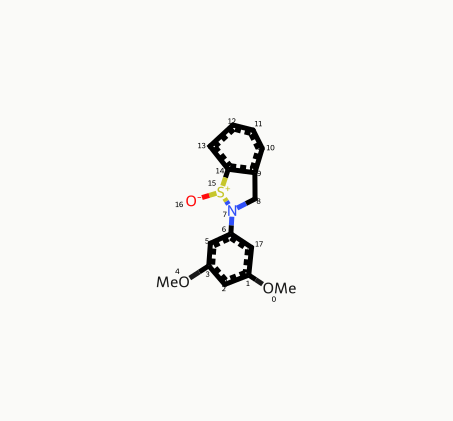 COc1cc(OC)cc(N2Cc3ccccc3[S+]2[O-])c1